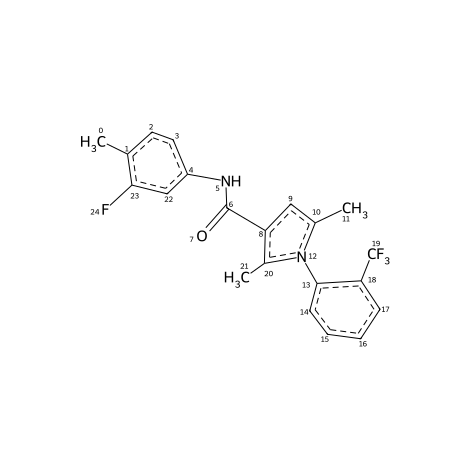 Cc1ccc(NC(=O)c2cc(C)n(-c3ccccc3C(F)(F)F)c2C)cc1F